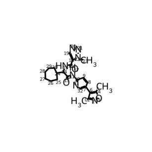 Cc1noc(C)c1-c1ccc(NC(=O)C(NC(=O)c2cnnn2C)C2CCCCCC2)nc1